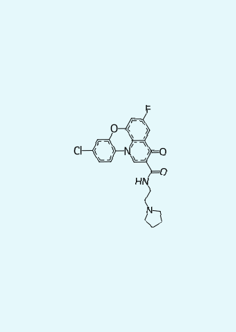 O=C(NCCN1CCCC1)c1cn2c3c(cc(F)cc3c1=O)Oc1cc(Cl)ccc1-2